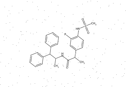 CC(C(=O)NC(C)C(c1ccccc1)c1ccccc1)c1ccc(NS(C)(=O)=O)c(F)c1